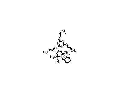 C=CCOc1nc(OCC=C)nc(N(CCCC)C2CC(C)(C)N(OC3CCCCC3)C(C)(C)C2)n1